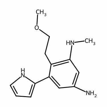 CNc1cc(N)cc(-c2ccc[nH]2)c1CCOC